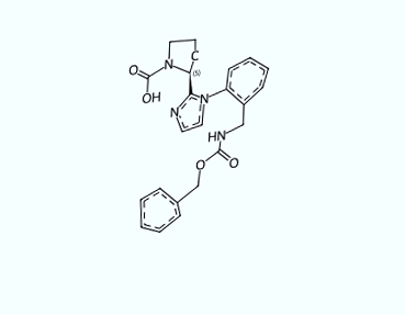 O=C(NCc1ccccc1-n1ccnc1[C@@H]1CCCN1C(=O)O)OCc1ccccc1